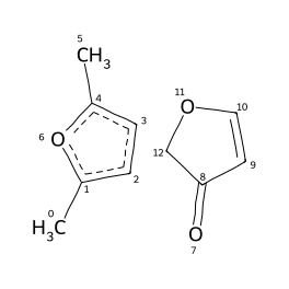 Cc1ccc(C)o1.O=C1C=COC1